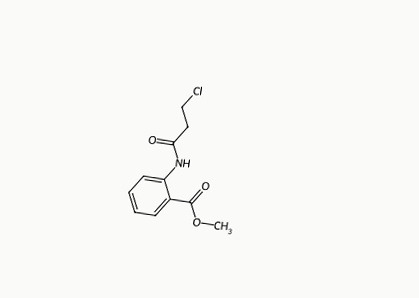 COC(=O)c1ccccc1NC(=O)CCCl